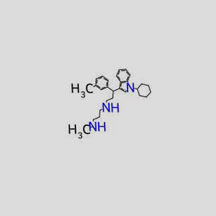 CNCCCNCCC(c1cccc(C)c1)c1cn(C2CCCCC2)c2ccccc12